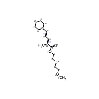 COCCOCCOC(=O)/C(C)=C/C=C/N1CCCCC1